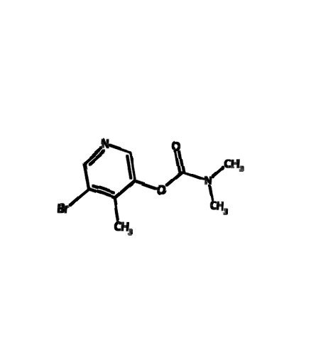 Cc1c(Br)cncc1OC(=O)N(C)C